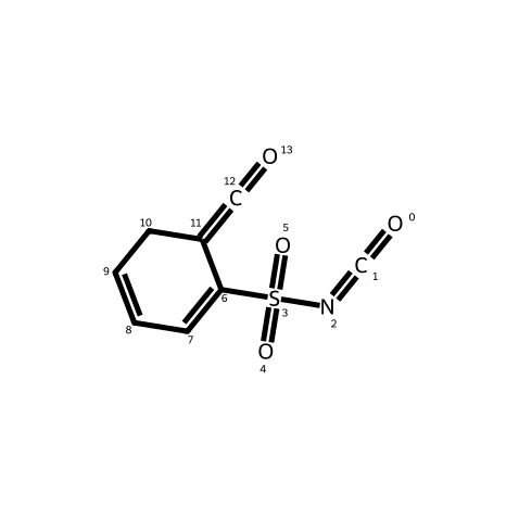 O=C=NS(=O)(=O)C1=CC=CCC1=C=O